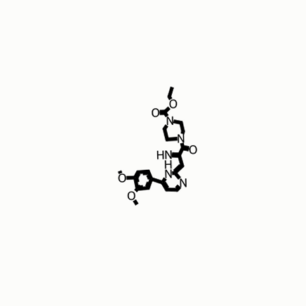 CCOC(=O)N1CCN(C(=O)C(=N)/C=C2/N=CC=C(c3ccc(OC)c(OC)c3)N2)CC1